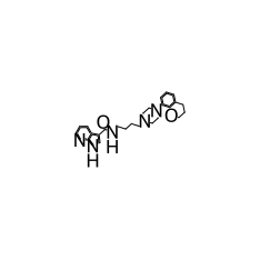 O=C(NCCCCN1CCN(c2cccc3c2OCCC3)CC1)c1c[nH]c2ncccc12